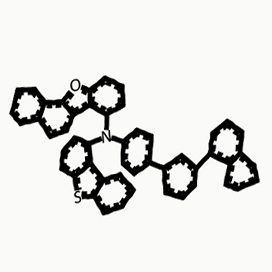 c1cc(-c2ccc(N(c3cccc4oc5c6ccccc6ccc5c34)c3cccc4sc5ccccc5c34)cc2)cc(-c2cccc3ccccc23)c1